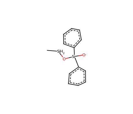 C[SiH2]O[Si]([O])(c1ccccc1)c1ccccc1